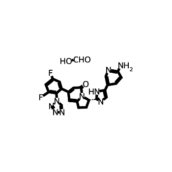 Nc1ccc(-c2cnc([C@@H]3CCc4cc(-c5cc(F)cc(F)c5-n5cnnn5)cc(=O)n43)[nH]2)cn1.O=CO